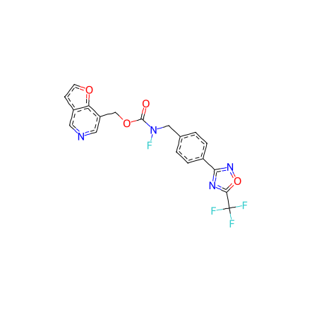 O=C(OCc1cncc2ccoc12)N(F)Cc1ccc(-c2noc(C(F)(F)F)n2)cc1